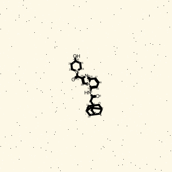 O=C(CC12CC3CC(CC(C3)C1)C2)Nc1cccc2nc(C(=O)N3CCC(O)CC3)cn12